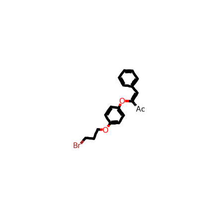 CC(=O)C(=Cc1ccccc1)Oc1ccc(OCCCBr)cc1